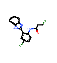 O=C(CCCl)Nc1ccc(Cl)cc1-c1nc2ccccc2[nH]1